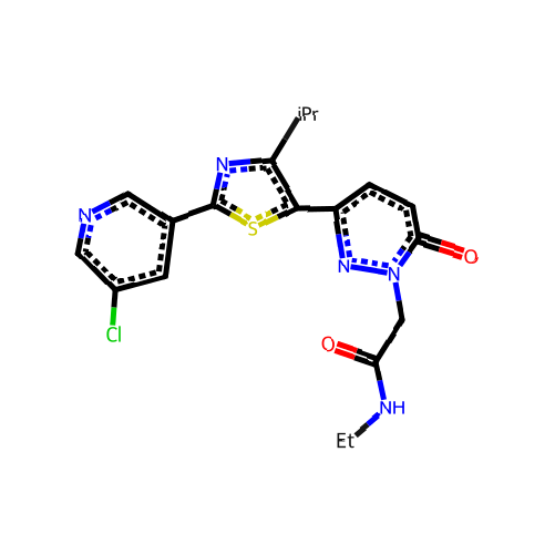 CCNC(=O)Cn1nc(-c2sc(-c3cncc(Cl)c3)nc2C(C)C)ccc1=O